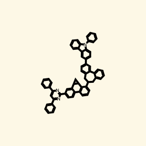 c1ccc(-c2cc(-c3ccccc3)nc(-c3ccc4c(c3)C3CC3c3c-4cccc3C3Cc4ccccc4-c4cc(-c5ccc6c(c5)c5ccccc5n6-c5ccccc5)ccc4C3)n2)cc1